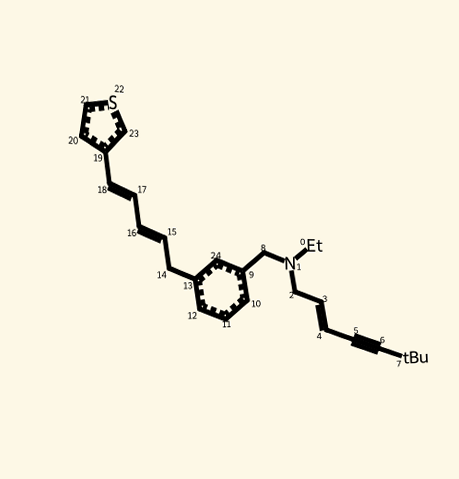 CCN(CC=CC#CC(C)(C)C)Cc1cccc(CC=CC=Cc2ccsc2)c1